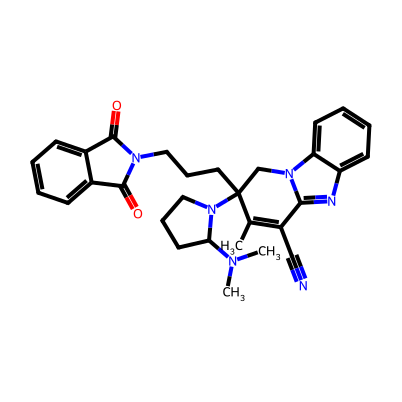 CC1=C(C#N)c2nc3ccccc3n2CC1(CCCN1C(=O)c2ccccc2C1=O)N1CCCC1N(C)C